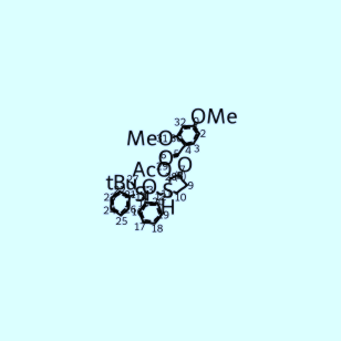 COc1ccc(C(=O)O[C@@H]2CC[SH](CO[Si](c3ccccc3)(c3ccccc3)C(C)(C)C)C2OC(C)=O)c(OC)c1